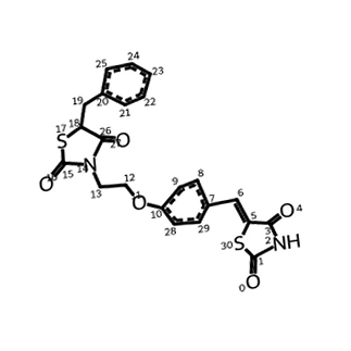 O=C1NC(=O)C(=Cc2ccc(OCCN3C(=O)SC(Cc4ccccc4)C3=O)cc2)S1